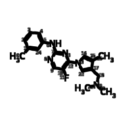 Cc1cccc(Nc2ncc(F)c(-n3cc(C)c(CN(C)C)c3)n2)c1